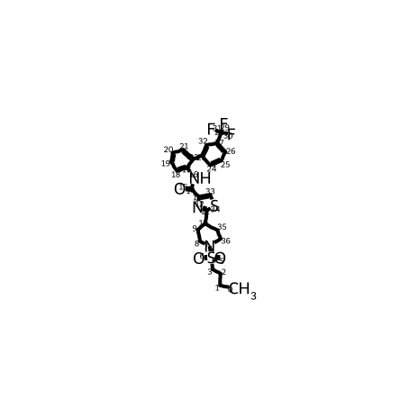 CCCCS(=O)(=O)N1CCC(c2nc(C(=O)Nc3ccccc3-c3cccc(C(F)(F)F)c3)cs2)CC1